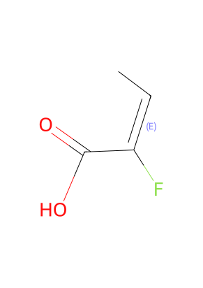 C/C=C(/F)C(=O)O